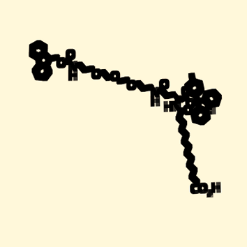 Cc1ccc(C(OC(=O)[C@H](CCC(=O)NCCCOCCOCCOCCCNC(=O)OCC2c3ccccc3-c3ccccc32)NC(=O)CCCCCCCCCCCCC(=O)O)(c2ccccc2)c2ccccc2Cl)cc1